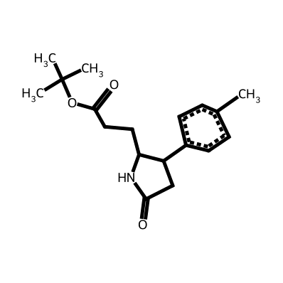 Cc1ccc(C2CC(=O)NC2CCC(=O)OC(C)(C)C)cc1